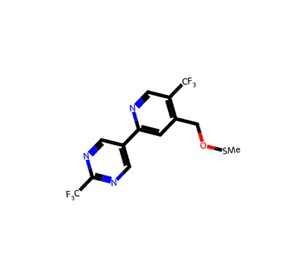 CSOCc1cc(-c2cnc(C(F)(F)F)nc2)ncc1C(F)(F)F